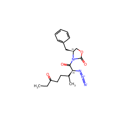 CCC(=O)CCC(C)[C@H](N=[N+]=[N-])C(=O)N1C(=O)OC[C@@H]1Cc1ccccc1